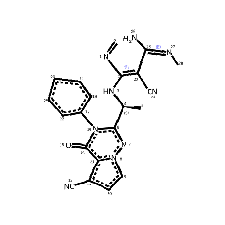 C=N/C(N[C@@H](C)c1nn2ccc(C#N)c2c(=O)n1-c1ccccc1)=C(C#N)\C(N)=N/C